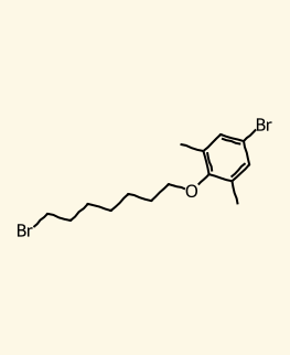 Cc1cc(Br)cc(C)c1OCCCCCCCBr